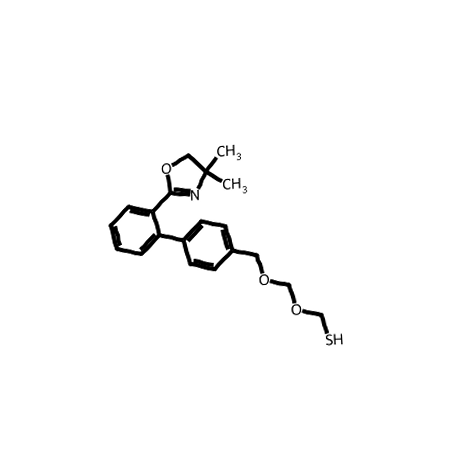 CC1(C)COC(c2ccccc2-c2ccc(COCOCS)cc2)=N1